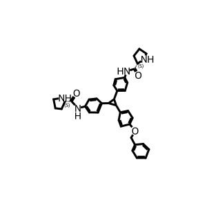 O=C(Nc1ccc(C2C(c3ccc(NC(=O)[C@@H]4CCCN4)cc3)C2c2ccc(OCc3ccccc3)cc2)cc1)[C@@H]1CCCN1